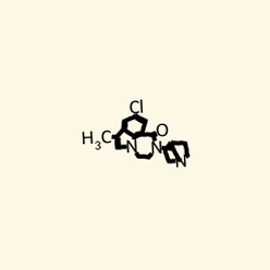 Cc1cn2c3c(cc(Cl)cc13)C(=O)N(C1CN3CCC1CC3)CC2